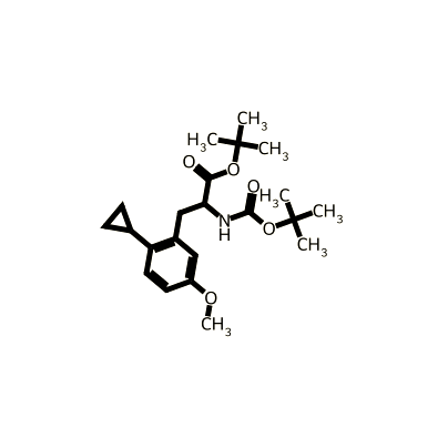 COc1ccc(C2CC2)c(CC(NC(=O)OC(C)(C)C)C(=O)OC(C)(C)C)c1